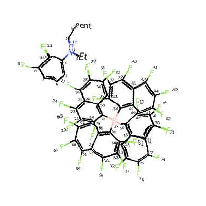 CCCC(C)C[NH+](CC)c1cccc(F)c1F.Fc1cc2c([B-](c3c(F)c(F)c(F)c4c(F)c(F)c(F)cc34)(c3c(F)c(F)c(F)c4c(F)c(F)c(F)cc34)c3c(F)c(F)c(F)c4c(F)c(F)c(F)cc34)c(F)c(F)c(F)c2c(F)c1F